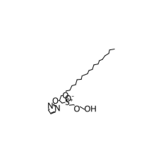 CCCCCCCCCCCCCCCCCCOCC(C[S+]([O-])CCOCCO)Oc1ncccn1